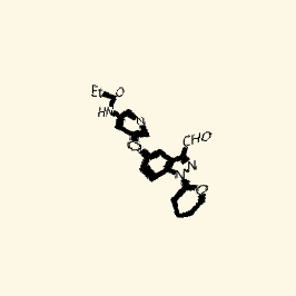 CCC(=O)Nc1cncc(Oc2ccc3c(c2)c(C=O)nn3C2CCCCO2)c1